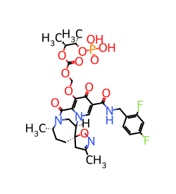 CC1=NO[C@@]2(CC[C@H](C)N3C[C@H]2n2cc(C(=O)NCc4ccc(F)cc4F)c(=O)c(OCOC(=O)O[C@@H](C)[C@H](C)OP(=O)(O)O)c2C3=O)C1